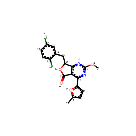 COc1nc(-c2ccc(C)o2)c2c(n1)C(Cc1cc(Cl)ccc1F)OC2=O